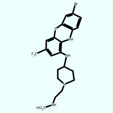 O=C(O)NCCN1CCC(Nc2cc(C(F)(F)F)cc3c2Nc2ccc(Br)cc2S3)CC1